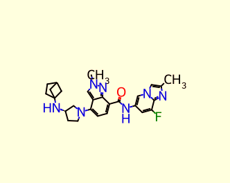 Cc1cn2cc(NC(=O)c3ccc(N4CC[C@@H](NC56CCC(C5)C6)C4)c4cn(C)nc34)cc(F)c2n1